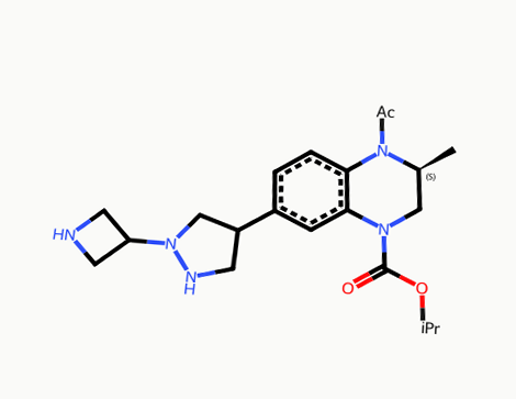 CC(=O)N1c2ccc(C3CNN(C4CNC4)C3)cc2N(C(=O)OC(C)C)C[C@@H]1C